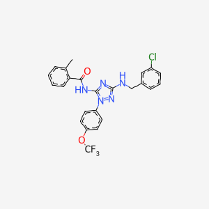 Cc1ccccc1C(=O)Nc1nc(NCc2cccc(Cl)c2)nn1-c1ccc(OC(F)(F)F)cc1